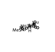 CSc1nc(N)cc(Oc2ccc(-c3nnc(Nc4cc(C(C)(C)C)nn4-c4ccc5ccccc5c4)[nH]3)cc2)n1